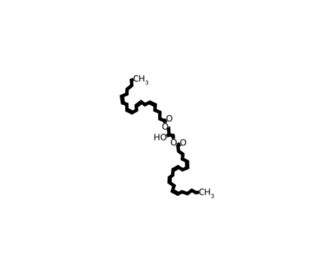 CCCCC/C=C\C/C=C\C/C=C\C/C=C\CCCC(=O)OCC(O)COC(=O)CCC/C=C\C/C=C\C/C=C\C/C=C\CCCCC